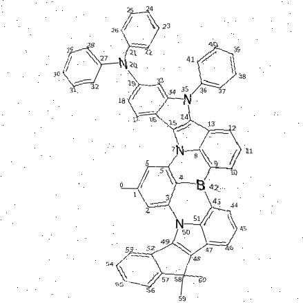 Cc1cc2c3c(c1)-n1c4c(cccc4c4c1c1ccc(N(c5ccccc5)c5ccccc5)cc1n4-c1ccccc1)B3c1cccc3c4c(n-2c13)-c1ccccc1C4(C)C